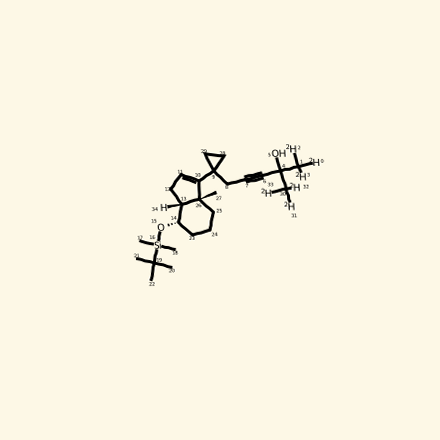 [2H]C([2H])([2H])C(O)(C#CCC1(C2=CC[C@H]3[C@@H](O[Si](C)(C)C(C)(C)C)CCC[C@@]23C)CC1)C([2H])([2H])[2H]